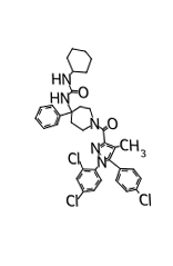 Cc1c(C(=O)N2CCC(NC(=O)NC3CCCCC3)(c3ccccc3)CC2)nn(-c2ccc(Cl)cc2Cl)c1-c1ccc(Cl)cc1